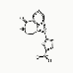 O=C1NCCn2c(-c3ccc([N+](=O)[O-])o3)nc3cccc1c32